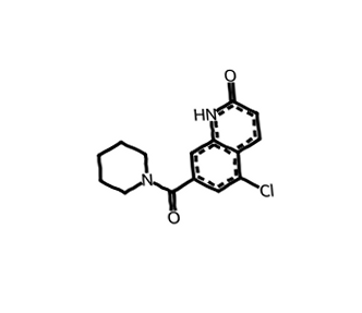 O=C(c1cc(Cl)c2ccc(=O)[nH]c2c1)N1CCCCC1